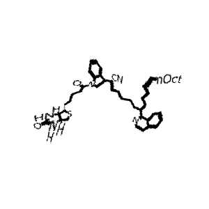 CCCCCCCC/C=C\CCCC(CCCC/C=C(\C#N)c1cn(C(=O)CCCC[C@@H]2SC[C@@H]3NC(=O)N[C@@H]32)c2ccccc12)c1nccc2ccccc12